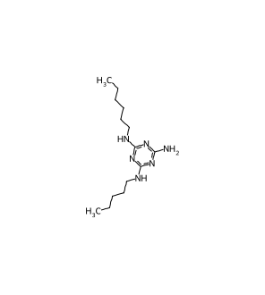 CCCCCCNc1nc(N)nc(NCCCCC)n1